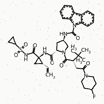 C=C[C@@H]1C[C@]1(NC(=O)[C@@H]1C[C@@H](NC(=O)n2c3ccccc3c3ccccc32)CN1C(=O)[C@@H](CC(=O)N1CCC(F)CC1)C(C)(C)C)C(=O)NS(=O)(=O)C1CC1